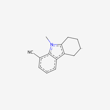 Cn1c2c(c3cccc(C#N)c31)C[CH]CC2